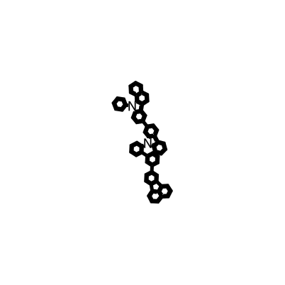 c1ccc(-n2c3ccc(-c4ccc5c6ccccc6n(-c6ccccc6-c6cccc(-c7ccc8c(c7)-c7cccc9cccc-8c79)c6)c5c4)cc3c3ccc4ccccc4c32)cc1